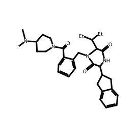 CCC(CC)C1C(=O)NC(C2Cc3ccccc3C2)C(=O)N1Cc1ccccc1C(=O)N1CCC(N(C)C)CC1